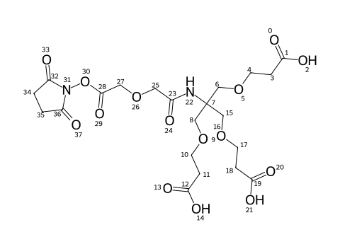 O=C(O)CCOCC(COCCC(=O)O)(COCCC(=O)O)NC(=O)COCC(=O)ON1C(=O)CCC1=O